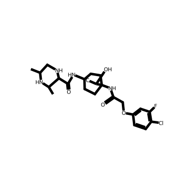 CC1CNC(C(=O)NC23CCC(NC(=O)COc4ccc(Cl)c(F)c4)(CC2)C(O)C3)C(C)N1